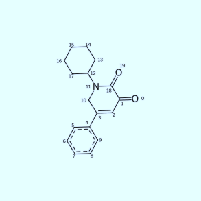 O=C1C=C(c2ccccc2)CN(C2CCCCC2)C1=O